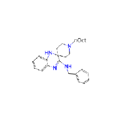 CCCCCCCCN1CCC2(CC1)Nc1ccccc1N=C2NCc1ccccc1